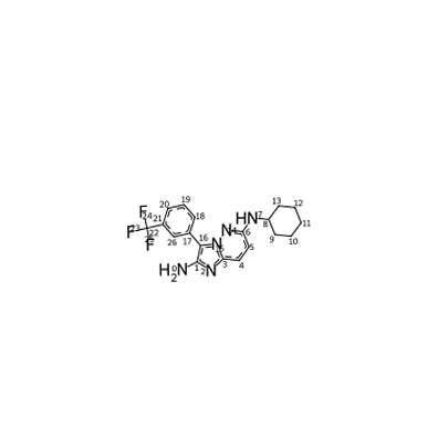 Nc1nc2ccc(NC3CCCCC3)nn2c1-c1cccc(C(F)(F)F)c1